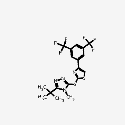 Cn1c(Sc2nc(-c3cc(C(F)(F)F)cc(C(F)(F)F)c3)cs2)nnc1C(C)(C)C